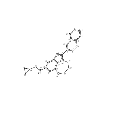 c1ncc2ccc(-c3nc4cc(NCC5CC5)cc5c4n3CCCO5)cc2n1